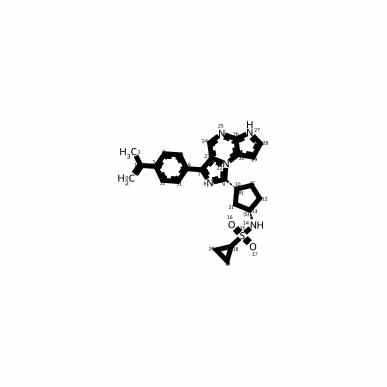 C=C(C)c1ccc(-c2nc([C@@H]3CC[C@H](NS(=O)(=O)C4CC4)C3)n3c2cnc2[nH]ccc23)cc1